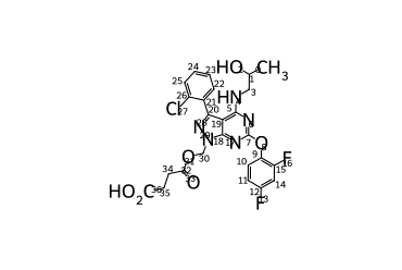 CC(O)CNc1nc(Oc2ccc(F)cc2F)nc2c1c(-c1ccccc1Cl)nn2COC(=O)CCC(=O)O